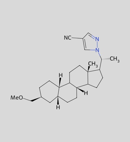 COC[C@H]1CC[C@@H]2C3CC[C@@]4(C)C(CCC4[C@@H](C)n4cc(C#N)cn4)[C@@H]3CC[C@@H]2C1